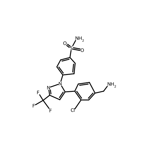 NCc1ccc(-c2cc(C(F)(F)F)nn2-c2ccc(S(N)(=O)=O)cc2)c(Cl)c1